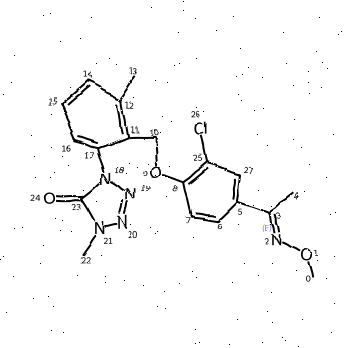 CO/N=C(\C)c1ccc(OCc2c(C)cccc2-n2nnn(C)c2=O)c(Cl)c1